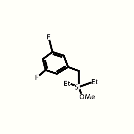 CC[Si](CC)(Cc1cc(F)cc(F)c1)OC